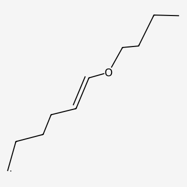 [CH2]CCCC=COCCCC